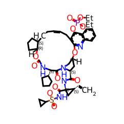 C=C[C@@H]1C[C@]1(NC(=O)[C@@H]1C[C@@H]2CN1C(=O)[C@H](C1CCCC1)NC(=O)O[C@@H]1CCC[C@H]1CCC=CCc1c(nc3ccccc3c1OP(=O)(OCC)OCC)O2)C(=O)NS(=O)(=O)C1CC1